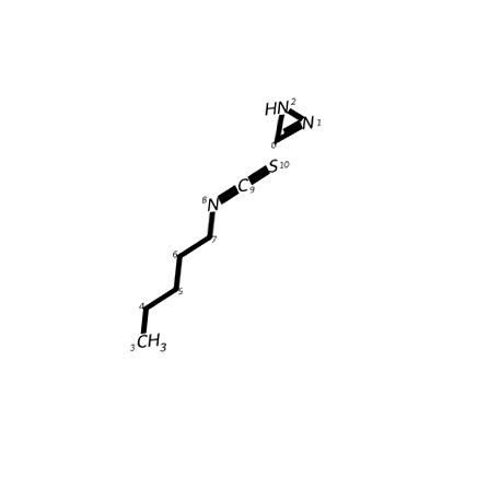 C1=NN1.CCCCCN=C=S